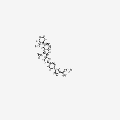 CC(C)C(C(=O)O)c1cc(-c2cnc(N3CC[C@@H](c4cc5nnc(-c6ccccc6O)cc5n4C4CC4)C3)nc2)no1